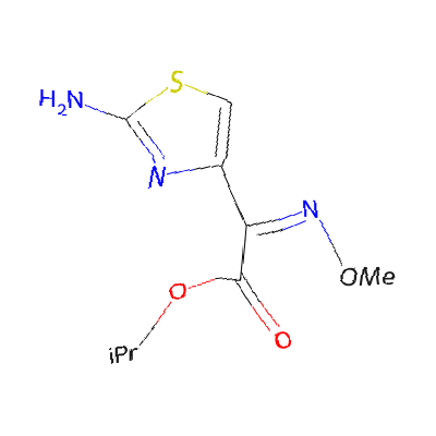 CON=C(C(=O)OC(C)C)c1csc(N)n1